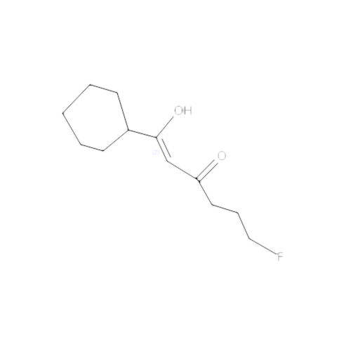 O=C(/C=C(\O)C1CCCCC1)CCCF